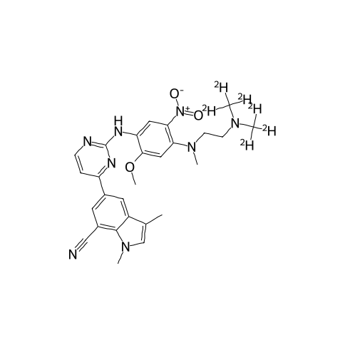 [2H]C([2H])([2H])N(CCN(C)c1cc(OC)c(Nc2nccc(-c3cc(C#N)c4c(c3)c(C)cn4C)n2)cc1[N+](=O)[O-])C([2H])([2H])[2H]